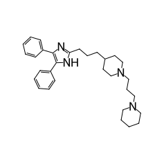 c1ccc(-c2nc(CCCC3CCN(CCCN4CCCCC4)CC3)[nH]c2-c2ccccc2)cc1